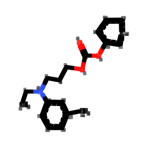 CCN(CCCOC(=O)Oc1ccccc1)c1cccc(C)c1